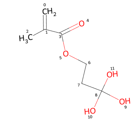 C=C(C)C(=O)OCCC(O)(O)O